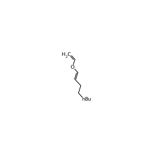 C=CO/C=C/CCCCCC